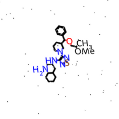 COC(C)COC(c1ccccc1)C1CCCN(c2nsnc2N[C@H](CN)CC2CCCCC2)C1